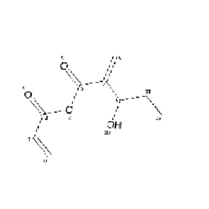 C=CC(=O)OC(=O)C(=C)C(O)CC